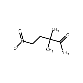 CC(C)(CC[N+](=O)[O-])C(N)=O